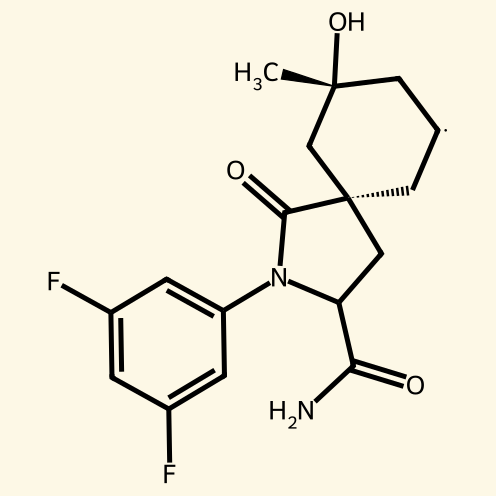 C[C@@]1(O)C[CH]C[C@@]2(CC(C(N)=O)N(c3cc(F)cc(F)c3)C2=O)C1